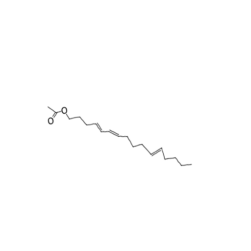 CCCCC=CCCCC=CC=CCCCOC(C)=O